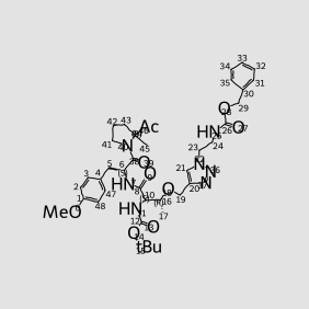 COc1ccc(C[C@H](NC(=O)[C@@H](NC(=O)OC(C)(C)C)[C@@H](C)OCc2cn(CCNC(=O)OCc3ccccc3)nn2)C(=O)N2CCC[C@@]2(C)C(C)=O)cc1